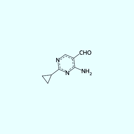 Nc1nc(C2CC2)ncc1C=O